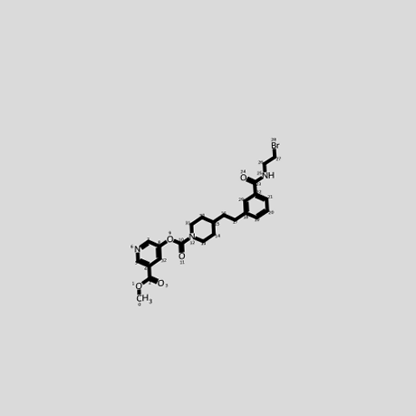 COC(=O)c1cncc(OC(=O)N2CCC(CCc3cccc(C(=O)NCCBr)c3)CC2)c1